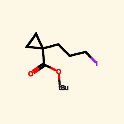 CC(C)(C)OC(=O)C1(CCCI)CC1